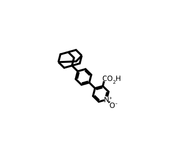 O=C(O)c1c[n+]([O-])ccc1-c1ccc(C23CC4CC(CC(C4)C2)C3)cc1